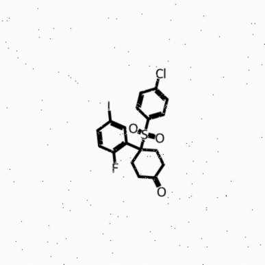 O=C1CCC(c2cc(I)ccc2F)(S(=O)(=O)c2ccc(Cl)cc2)CC1